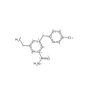 CCc1cc(Cc2ccc(Cl)cc2)cc(C(N)=O)c1